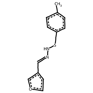 Cc1ccc(SN/N=C/c2ccoc2)cc1